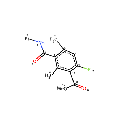 CCNC(=O)c1c(C(F)(F)F)cc(F)c(C(=O)OC)c1C